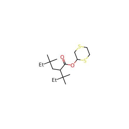 CCC(C)(C)CC(C(=O)OC1CSCCS1)C(C)(C)CC